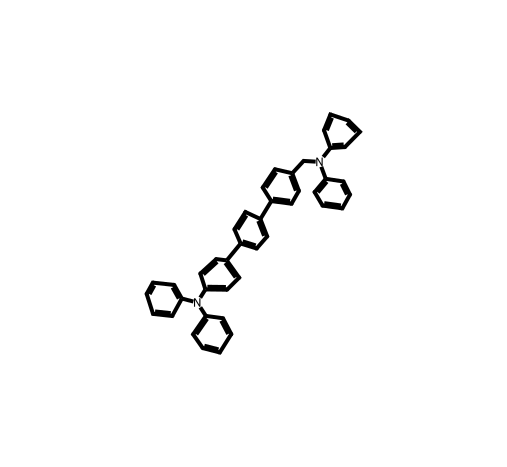 c1ccc(N(Cc2ccc(-c3ccc(-c4ccc(N(c5ccccc5)c5ccccc5)cc4)cc3)cc2)c2ccccc2)cc1